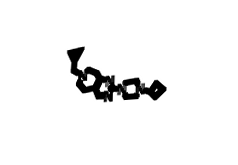 c1nc(N2CCN(C3CCC3)CC2)nc2c1CCN(CC1CC1)CC2